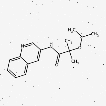 CC(C)OC(C)(C)C(=O)Nc1cnc2ccccc2c1